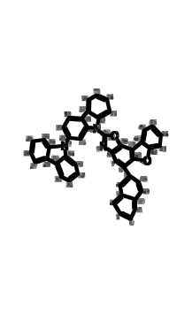 c1ccc2cc(-c3cc4nc(-n5c6ccccc6c6ccc(-n7c8ccccc8c8ccccc87)cc65)oc4c4c3oc3ccccc34)ccc2c1